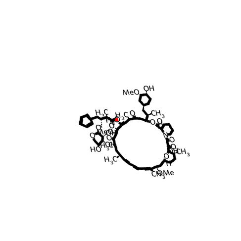 CO[C@H]1C[C@@H]2CC[C@@H](C)[C@@](O)(O2)C(=O)C(=O)N2CCCC[C@H]2C(=O)OC([C@H](C)C[C@@H]2CC[C@@H](O)[C@H](OC)C2)CC(=O)[C@H](C)/C=C(\C)[C@@H](OC(=O)[C@@H](C)[C@H](CO[C@H]2OC[C@@H](O)[C@@H](O)[C@H]2O)Cc2ccccc2)[C@@H](OC)C(=O)[C@H](C)C[C@H](C)/C=C/C=C/C=C/1C